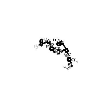 Cc1ncc(C(=O)Nc2ccc(CN3CCN(CCc4cc(C(=O)Nc5ccc(CN6CCN(C)CC6)c(C(F)(F)F)c5)ccc4C#Cc4cnc(N)c5ccccc45)CC3)c(C(F)(F)F)c2)cc1C#Cc1cnc(N)c2ccccc12